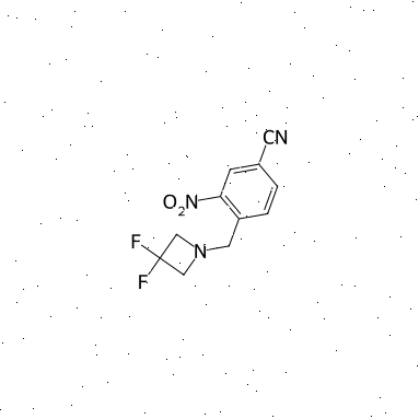 N#Cc1ccc(CN2CC(F)(F)C2)c([N+](=O)[O-])c1